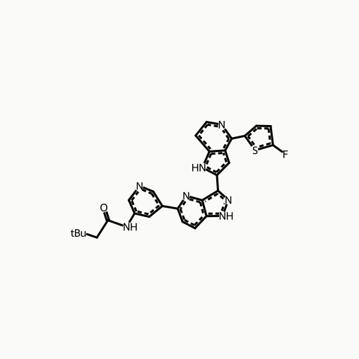 CC(C)(C)CC(=O)Nc1cncc(-c2ccc3[nH]nc(-c4cc5c(-c6ccc(F)s6)nccc5[nH]4)c3n2)c1